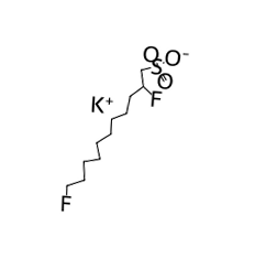 O=S(=O)([O-])CC(F)CCCCCCCCCF.[K+]